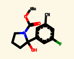 CC(C)(C)OC(=O)N1CCCC1(O)c1cc(F)cc(C#N)c1